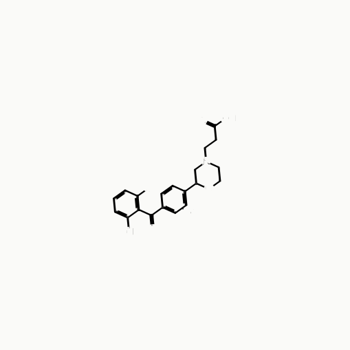 Cl.O=C(O)CCN1CCOC(c2ccc(C(=O)c3c(Cl)cccc3Cl)cc2)C1